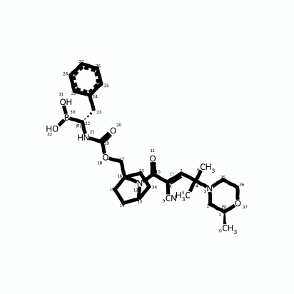 C[C@H]1CN(C(C)(C)/C=C(\C#N)C(=O)N2C3CCC2(COC(=O)N[C@@H](Cc2ccccc2)B(O)O)CC3)CCO1